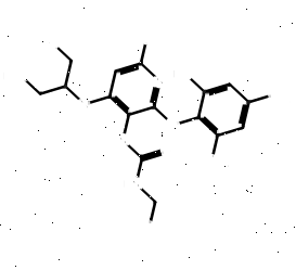 CCNC(=O)Nc1c(NC(CC)CC)cc(C)nc1Oc1c(C)cc(C)cc1C